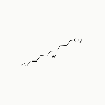 CCCCC=CCCCCCCCC(=O)O.[W]